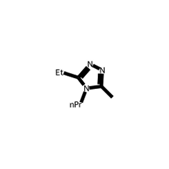 CCCn1c(C)nnc1CC